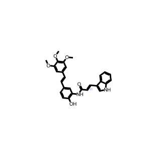 COc1cc(C=Cc2ccc(O)c(NC(=O)/C=C/c3c[nH]c4ccccc34)c2)cc(OC)c1OC